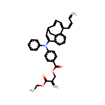 C=C\C=C/C1=C/C=C/C2C=C(N(c3ccccc3)c3ccc(C(=O)OCC(=C)C(=O)OCC)cc3)c3cccc1c3C2